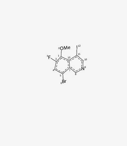 COc1c(F)cc(Br)c2cncc(I)c12